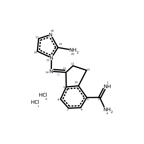 Cl.Cl.N=C(N)c1cccc2c1CC/C2=N\n1ccnc1N